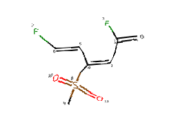 C=C(F)/C=C(\C=C\F)S(C)(=O)=O